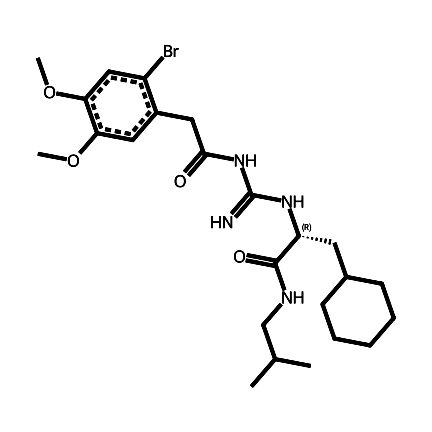 COc1cc(Br)c(CC(=O)NC(=N)N[C@H](CC2CCCCC2)C(=O)NCC(C)C)cc1OC